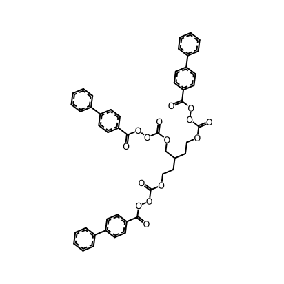 O=C(OCCC(CCOC(=O)OOC(=O)c1ccc(-c2ccccc2)cc1)COC(=O)OOC(=O)c1ccc(-c2ccccc2)cc1)OOC(=O)c1ccc(-c2ccccc2)cc1